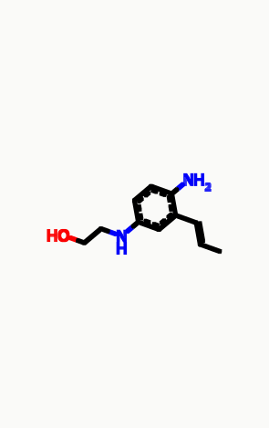 CC=Cc1cc(NCCO)ccc1N